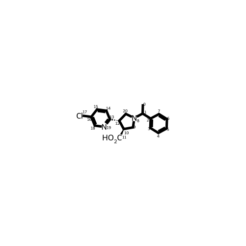 CC(c1ccccc1)N1C[C@@H](C(=O)O)[C@H](c2ccc(Cl)cn2)C1